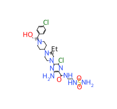 CC[C@H]1CN(c2nc(N)c(C(=O)NCCNS(N)(=O)=O)nc2Cl)CCN1C1CCN([C@H](CO)c2ccc(Cl)cc2)CC1